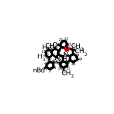 CCCCc1ccc2c(c1)C1(C)C=CC(C)C3=C1C1(C)C(=C4c5ccccc5OC43C)C3c4c(cc(C)cc4N21)-c1cccc2c1N3c1ccccc1C2(C)C